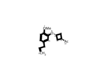 C=CCc1ccc(OC)c(O[C@H]2C[C@H](C(C)=O)C2)c1